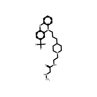 CNCC(=O)NCCN1CCC(CCCN2c3ccccc3Sc3ccc(C(F)(F)F)cc32)CC1